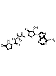 Nc1ncnc2c1ncn2[C@@H]1O[C@H](CNS(=O)(=O)NC(=O)[C@@H]2CCC(=O)N2)C(=O)[C@@H]1O